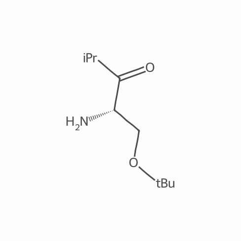 CC(C)C(=O)[C@@H](N)COC(C)(C)C